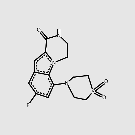 O=C1NCCn2c1cc1cc(F)cc(N3CCS(=O)(=O)CC3)c12